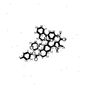 Cc1ccc(OC(=O)N2CCc3cc(-c4cc(C(=O)N(C)c5ccccc5)c(C)n4C)c(C(=O)N4Cc5ccccc5C[C@H]4CN4CCOCC4)cc3C2)cc1